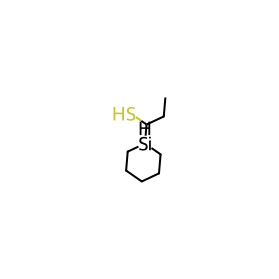 CCC(S)[SiH]1CCCCC1